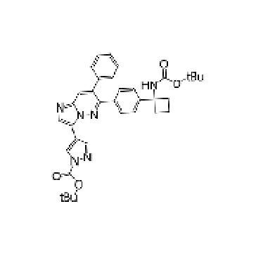 CC(C)(C)OC(=O)NC1(c2ccc(-c3nn4c(-c5cnn(C(=O)OC(C)(C)C)c5)cnc4cc3-c3ccccc3)cc2)CCC1